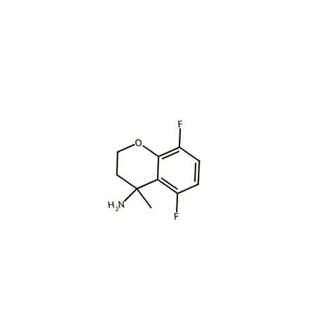 CC1(N)CCOc2c(F)ccc(F)c21